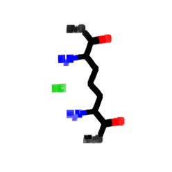 COC(=O)C(N)CCCC(N)C(=O)OC.Cl